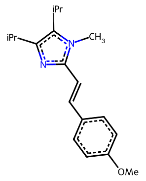 COc1ccc(C=Cc2nc(C(C)C)c(C(C)C)n2C)cc1